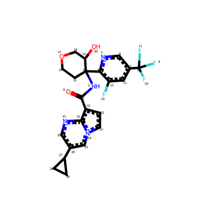 O=C(NC1(c2ncc(C(F)(F)F)cc2F)CCOCC1O)c1ccn2cc(C3CC3)cnc12